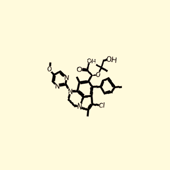 COc1cnc(N2CCn3c(C)c(Cl)c4c(-c5ccc(C)cc5)c([C@H](OC(C)(C)CO)C(=O)O)c(C)c2c43)nc1